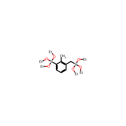 CCO[Si](Cc1cccc([Si](OCC)(OCC)OCC)c1C)(OCC)OCC